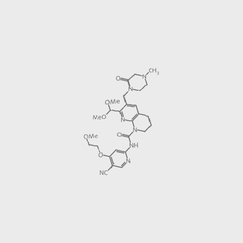 COCCOc1cc(NC(=O)N2CCCc3cc(CN4CCN(C)CC4=O)c(C(OC)OC)nc32)ncc1C#N